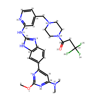 COc1nc(-c2ccc3nc(Nc4cc(CN5CCN(C(=O)CC(F)(F)F)CC5)ccn4)[nH]c3c2)cc(N(C)C)n1